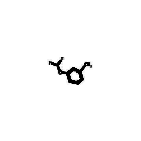 Cc1[c]ccc(OC(F)F)c1